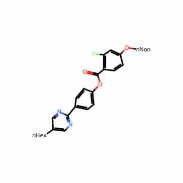 CCCCCCCCCOc1ccc(C(=O)Oc2ccc(-c3ncc(CCCCCC)cn3)cc2)c(F)c1